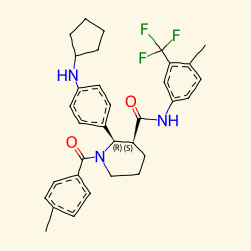 Cc1ccc(C(=O)N2CCC[C@H](C(=O)Nc3ccc(C)c(C(F)(F)F)c3)[C@@H]2c2ccc(NC3CCCC3)cc2)cc1